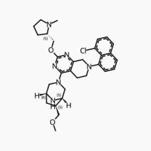 COC[C@H]1C[C@@H]2CN(c3nc(OC[C@@H]4CCCN4C)nc4c3CCN(c3cccc5cccc(Cl)c35)C4)C[C@H]1N2